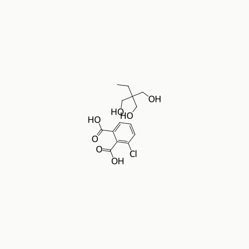 CCC(CO)(CO)CO.O=C(O)c1cccc(Cl)c1C(=O)O